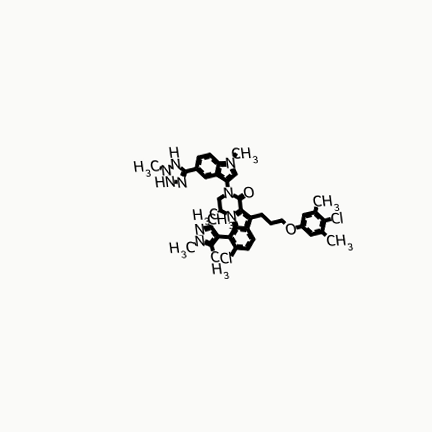 Cc1cc(OCCCc2c3n(c4c(-c5c(C)nn(C)c5C)c(Cl)ccc24)[C@H](C)CN(c2cn(C)c4ccc(C5=NNN(C)N5)cc24)C3=O)cc(C)c1Cl